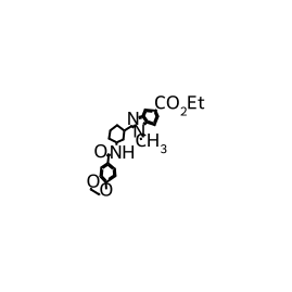 CCOC(=O)c1ccc2c(c1)nc(C1CCCC(NC(=O)c3ccc4c(c3)OCCO4)C1)n2C